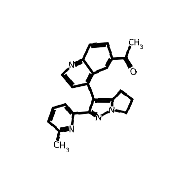 CC(=O)c1ccc2nccc(-c3c(-c4cccc(C)n4)nn4c3CCC4)c2c1